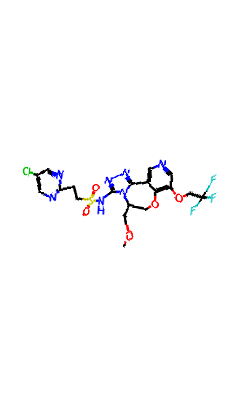 COC[C@@H]1COc2c(OCC(F)(F)F)cncc2-c2nnc(NS(=O)(=O)CCc3ncc(Cl)cn3)n21